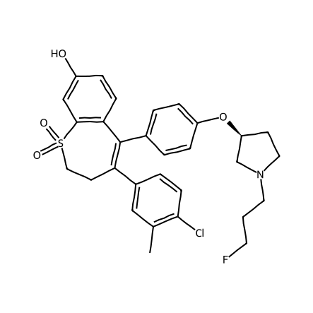 Cc1cc(C2=C(c3ccc(O[C@H]4CCN(CCCF)C4)cc3)c3ccc(O)cc3S(=O)(=O)CC2)ccc1Cl